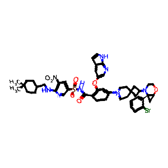 CC1(C)CCC(CNc2ncc(S(=O)(=O)NC(=O)c3ccc(N4CCC5(CC4)CC(N4CCOC6C[C@@]64c4ccccc4Br)C5)cc3Oc3cnc4[nH]ccc4c3)cc2[N+](=O)[O-])CC1